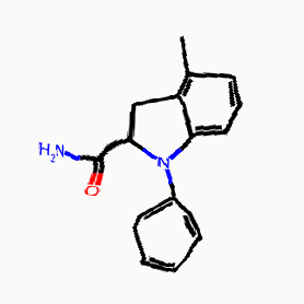 Cc1cccc2c1CC(C(N)=O)N2c1ccccc1